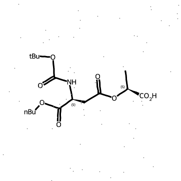 CCCCOC(=O)[C@H](CC(=O)O[C@@H](C)C(=O)O)NC(=O)OC(C)(C)C